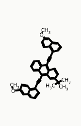 COc1ccc2c(C#Cc3c4ccccc4c(C#Cc4cccc5cc(OC)ccc45)c4cc(C(C)(C)C)ccc34)cccc2c1